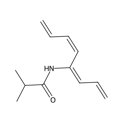 C=C/C=C\C(=C/C=C)NC(=O)C(C)C